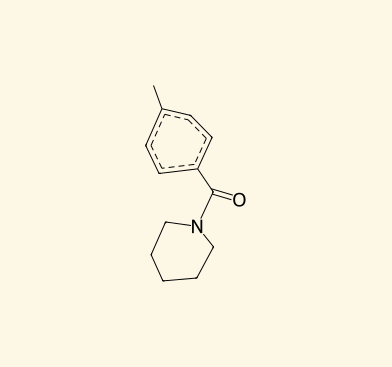 Cc1ccc(C(=O)N2CCCCC2)cc1